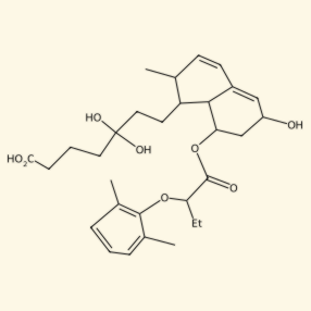 CCC(Oc1c(C)cccc1C)C(=O)OC1CC(O)C=C2C=CC(C)C(CCC(O)(O)CCCC(=O)O)C21